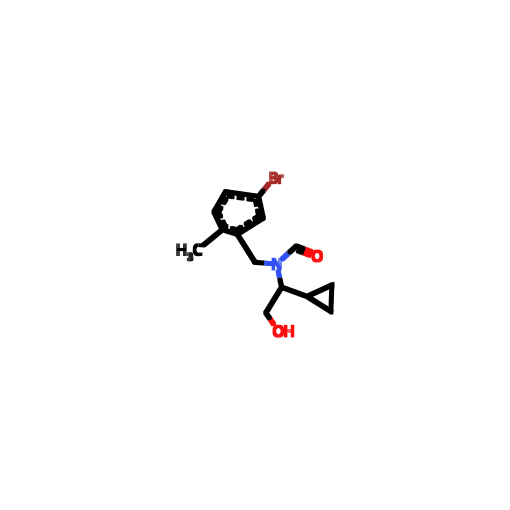 Cc1ccc(Br)cc1CN(C=O)C(CO)C1CC1